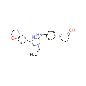 C=CN1C=C(c2ccc3c(c2)NCCO3)N=C(Nc2ccc(N3CCC[C@@H](O)C3)cc2)C1